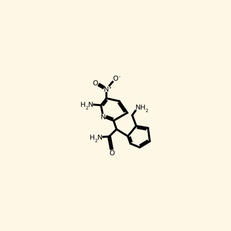 NCc1ccccc1C(C(N)=O)c1ccc([N+](=O)[O-])c(N)n1